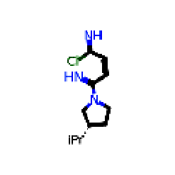 CC(C)[C@H]1CCN(C(=N)/C=C\C(=N)Cl)C1